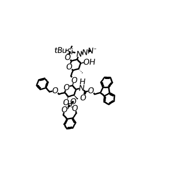 C[C@@H]1C(CO[C@@H]2OC(COCc3ccccc3)[C@@H](OP3(=O)OCc4ccccc4CO3)[C@H](C)C2NC(=O)OCC2c3ccccc3-c3ccccc32)OC(O[Si](C)(C)C(C)(C)C)C(N=[N+]=[N-])[C@H]1O